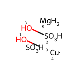 O=S(=O)(O)O.O=S(=O)(O)O.[Cu].[MgH2]